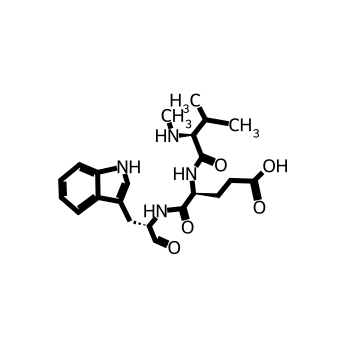 CN[C@H](C(=O)N[C@@H](CCC(=O)O)C(=O)N[C@H](C=O)Cc1c[nH]c2ccccc12)C(C)C